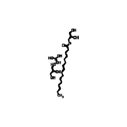 CCCCCCCCCCCCCCCC(=O)OCC(O)CO.OB(O)O.OCC(O)CO